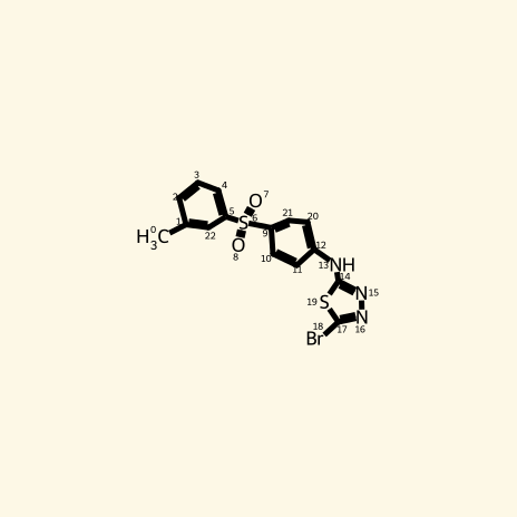 Cc1cccc(S(=O)(=O)c2ccc(Nc3nnc(Br)s3)cc2)c1